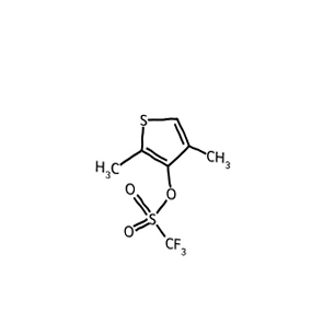 Cc1csc(C)c1OS(=O)(=O)C(F)(F)F